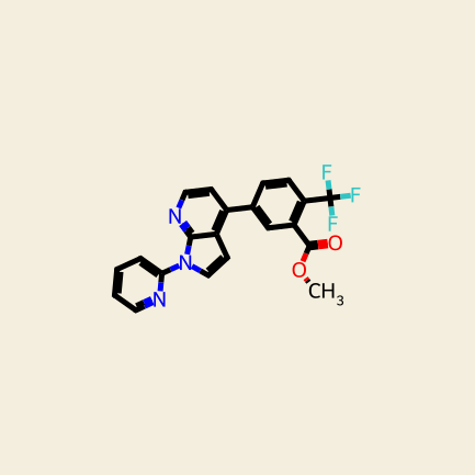 COC(=O)c1cc(-c2ccnc3c2ccn3-c2ccccn2)ccc1C(F)(F)F